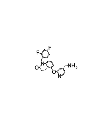 NCc1ccnc(Oc2cccc3c2CCC(=O)N3Cc2ccc(F)cc2F)c1